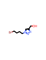 OCc1cn(CCCCBr)nn1